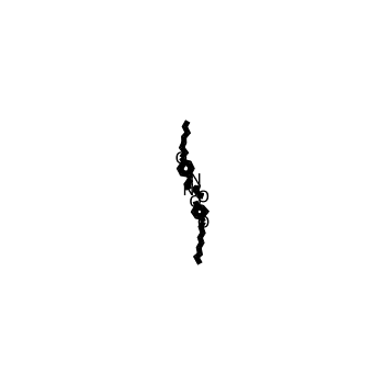 CCCCCCCCOc1ccc(OC(=O)c2cnc(-c3ccc(OCCCCCCC)cc3)cn2)cc1